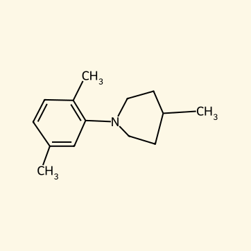 Cc1ccc(C)c(N2CCC(C)CC2)c1